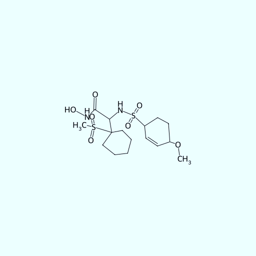 COC1C=CC(S(=O)(=O)NC(C(=O)NO)C2(S(C)(=O)=O)CCCCC2)CC1